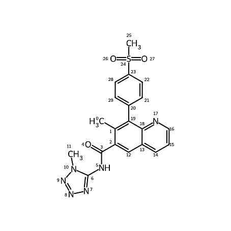 Cc1c(C(=O)Nc2nnnn2C)cc2cccnc2c1-c1ccc(S(C)(=O)=O)cc1